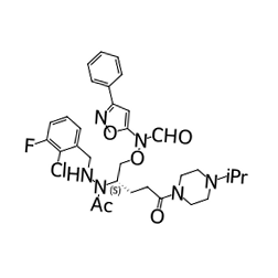 CC(=O)N(NCc1cccc(F)c1Cl)[C@@H](CCC(=O)N1CCN(C(C)C)CC1)CON(C=O)c1cc(-c2ccccc2)no1